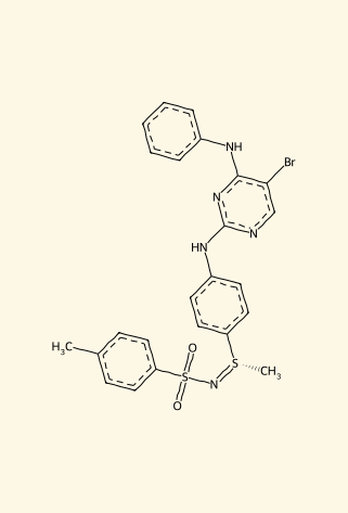 Cc1ccc(S(=O)(=O)N=[S@@](C)c2ccc(Nc3ncc(Br)c(Nc4ccccc4)n3)cc2)cc1